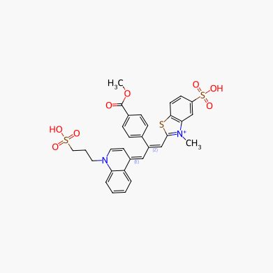 COC(=O)c1ccc(C(=C\c2sc3ccc(S(=O)(=O)O)cc3[n+]2C)/C=C2\C=CN(CCCS(=O)(=O)O)c3ccccc32)cc1